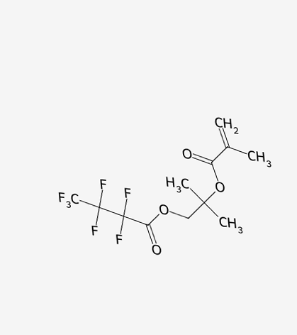 C=C(C)C(=O)OC(C)(C)COC(=O)C(F)(F)C(F)(F)C(F)(F)F